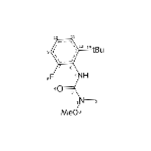 CON(C)C(=O)Nc1c(F)cccc1C(C)(C)C